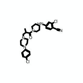 CC(CN1CCN(c2ccc(Cl)cc2)CC1)C(=O)N1CCC(Nc2ccc(C#N)c(Cl)c2)CC1